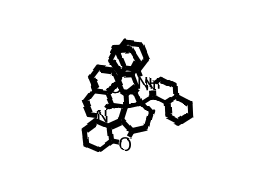 C1=CC2=C3C(CCC(c4nccc5ccccc45)(C4CCC5CCCCC5N4)C3(c3cc4ccccc4o3)c3nccc4ccccc34)OC2CC1